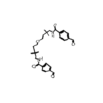 CC(C)(CCOCCC(C)(C)CNC(=O)c1ccc(C=O)cc1)CNC(=O)c1ccc(C=O)cc1